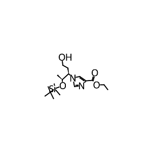 CCOC(=O)c1cn([C@H](CCO)[C@H](C)O[Si](C)(C)C(C)(C)C)cn1